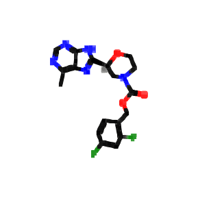 Cc1ncnc2[nH]c([C@@H]3CN(C(=O)OCc4ccc(F)cc4F)CCO3)nc12